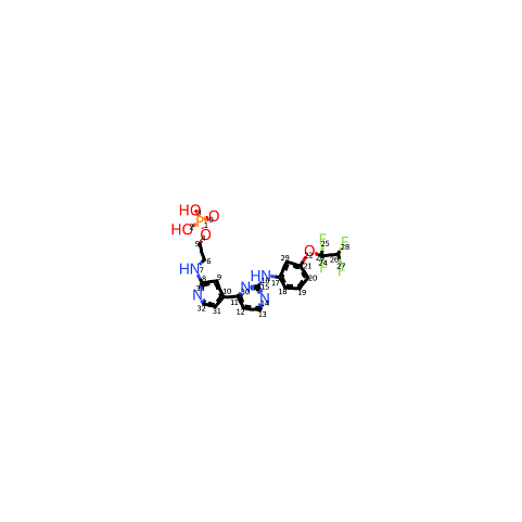 O=P(O)(O)OCCNc1cc(-c2ccnc(Nc3cccc(OC(F)(F)C(F)F)c3)n2)ccn1